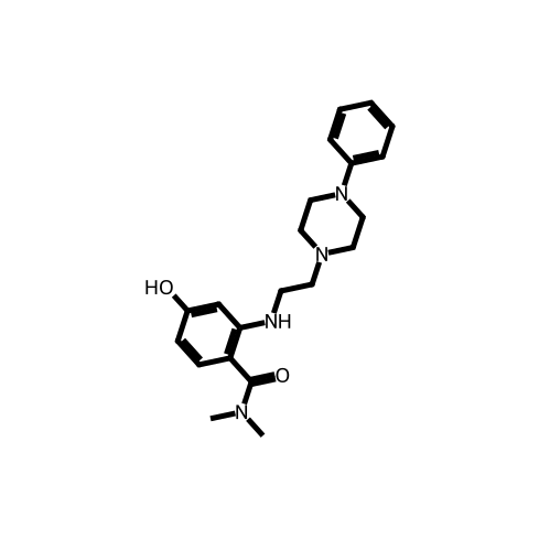 CN(C)C(=O)c1ccc(O)cc1NCCN1CCN(c2ccccc2)CC1